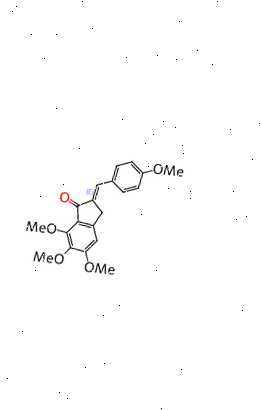 COc1ccc(/C=C2\Cc3cc(OC)c(OC)c(OC)c3C2=O)cc1